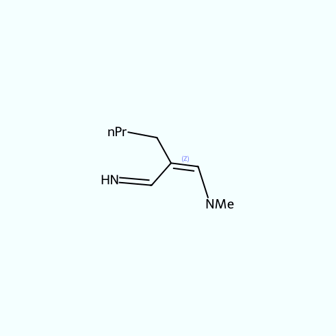 CCCC/C(C=N)=C/NC